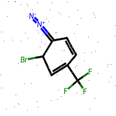 [N-]=[N+]=C1C=CC(C(F)(F)F)=CC1Br